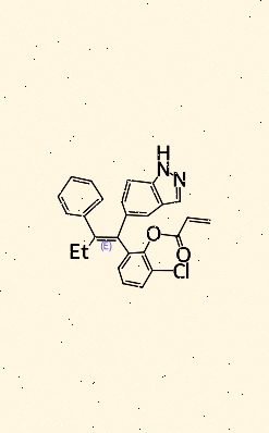 C=CC(=O)Oc1c(Cl)cccc1/C(=C(\CC)c1ccccc1)c1ccc2[nH]ncc2c1